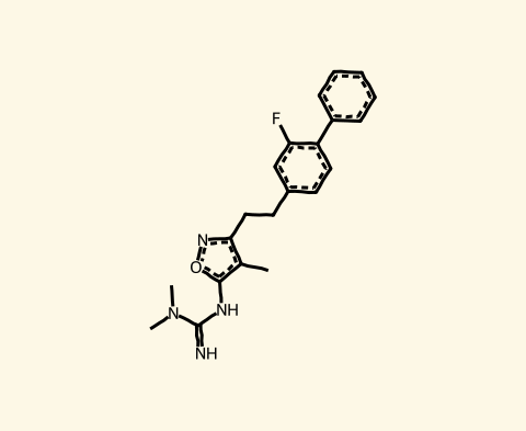 Cc1c(CCc2ccc(-c3ccccc3)c(F)c2)noc1NC(=N)N(C)C